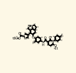 CCOc1ccc(C(=O)Nc2ccc(Oc3cc4c5c(cnn5CC4)c3-c3cnn(C(=O)OC(C)(C)C)c3)c(F)c2)c(=O)n1-c1ccc(F)cc1